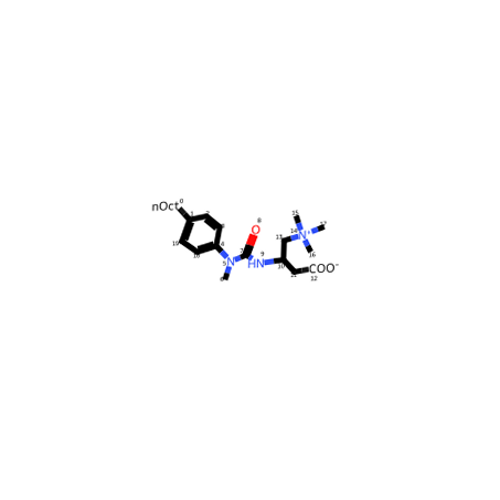 CCCCCCCCc1ccc(N(C)C(=O)NC(CC(=O)[O-])C[N+](C)(C)C)cc1